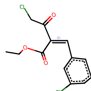 CCOC(=O)/C(=C\c1cccc(Cl)c1)C(=O)CCl